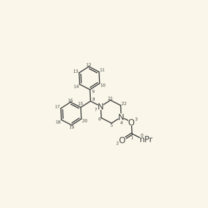 CCCC(=O)ON1CCN(C(c2ccccc2)c2ccccc2)CC1